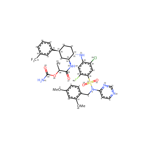 COc1ccc(CN(c2ccncn2)S(=O)(=O)c2cc(Cl)c(N[C@H]3CC[C@H](c4cccc(C(F)(F)F)c4)C[C@@H]3NC(=O)C(OC(N)=O)C(C)C)cc2F)c(OC)c1